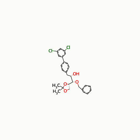 CC1(C)OC[C@@H]([C@@H](OCc2ccccc2)[C@@H](O)Cc2ccc(-c3cc(Cl)cc(Cl)c3)cc2)O1